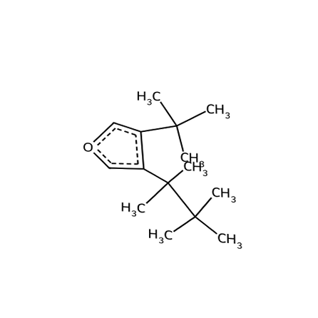 CC(C)(C)c1cocc1C(C)(C)C(C)(C)C